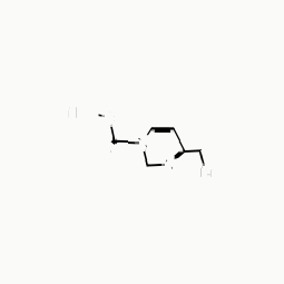 COC(=O)N1C=CC(CBr)=NC1